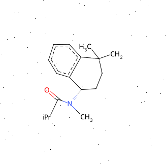 CC(C)C(=O)N(C)[C@H]1CCC(C)(C)c2ccccc21